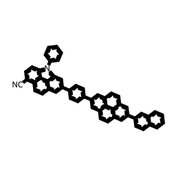 N#Cc1ccc2c3c1ccc1cc(-c4ccc(-c5cc6ccc7cc(-c8ccc9ccccc9c8)cc8ccc(c5)c6c78)cc4)cc(c13)n2-c1ccccc1